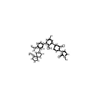 Cc1cc(-c2ccc(-n3ccn(C)c3=O)c(Cl)c2)c(O)c(-c2cnc(N(C)C)c(N3CCC4(CCCN4C(C)C)C3)c2)n1